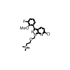 COc1c(F)cccc1-c1nn(COCC[Si](C)(C)C)c2nc(Cl)ccc12